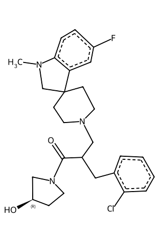 CN1CC2(CCN(CC(Cc3ccccc3Cl)C(=O)N3CC[C@@H](O)C3)CC2)c2cc(F)ccc21